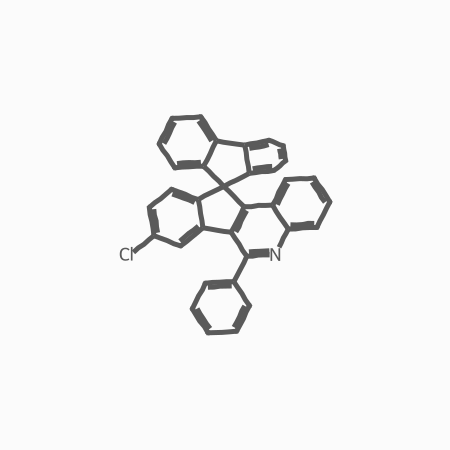 Clc1ccc2c(c1)-c1c(-c3ccccc3)nc3ccccc3c1C21c2ccccc2-c2ccccc21